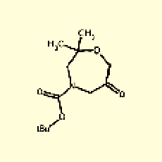 CC(C)(C)OC(=O)N1CC(=O)COC(C)(C)C1